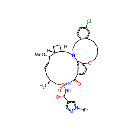 CCCn1cc(C(=O)NS2(=O)=NC(=O)c3ccc4c(c3)N(CCc3ccc(Cl)cc3CCCCO4)C[C@@H]3CC[C@H]3[C@@H](OC)/C=C/C[C@H](C)C2)cn1